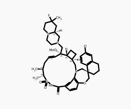 CO[C@@]1(CN2CCN3CCC(C)(F)C[C@H]3C2)/C=C/C[C@H](C)[C@@H](C)S(=O)(=O)NC(=O)c2ccc3c(c2)N(C[C@@H]2CC[C@H]21)C[C@@]1(CCCc2cc(Cl)ccc21)CO3